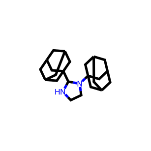 C1CN(C23CC4CC(CC(C4)C2)C3)C(C23CC4CC(CC(C4)C2)C3)N1